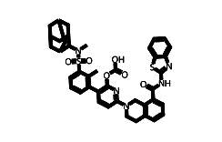 Cc1c(-c2ccc(N3CCc4cccc(C(=O)Nc5nc6ccccc6s5)c4C3)nc2OC(=O)O)cccc1S(=O)(=O)N(C)C1C2CC3CC(C2)CC1C3